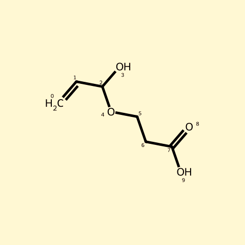 C=CC(O)OCCC(=O)O